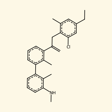 C=C(Cc1c(C)cc(CC)cc1Cl)c1cccc(-c2cccc(NC)c2C)c1C